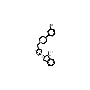 Oc1cccc(C2CCN(Cc3cn([C@@H]4Cc5ccccc5[C@@H]4O)nn3)CC2)c1